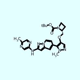 Cc1cnc(Nc2cc3cc(-c4c(OC[C@H]5CCN5C(=O)OC(C)(C)C)cnn4C)ccn3n2)cn1